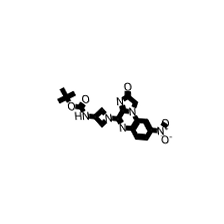 CC(C)(C)OC(=O)NC1CN(C2=Nc3ccc([N+](=O)[O-])cc3N3CC(=O)N=C23)C1